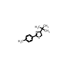 Cc1ccc(C2=NC(C(C)(C)C)CS2)cc1